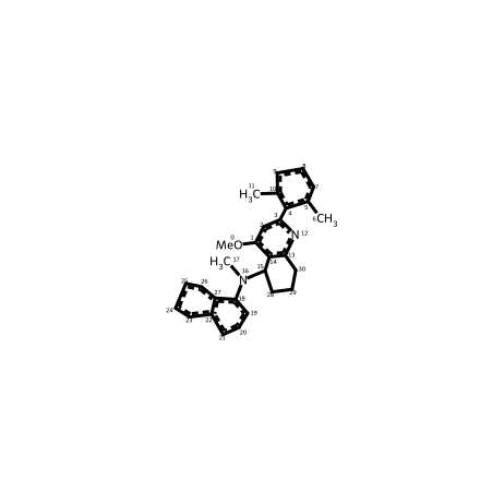 COc1cc(-c2c(C)cccc2C)nc2c1C(N(C)c1cccc3ccccc13)CCC2